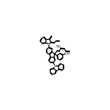 C=C/C=C(C#N)\C=C\C1(c2cccc(C#N)c2)c2cc(-n3/c(=C/C=C)c(=C)c4ccccc43)ccc2-c2ccc(-n3c4ccccc4c4ccccc43)cc21